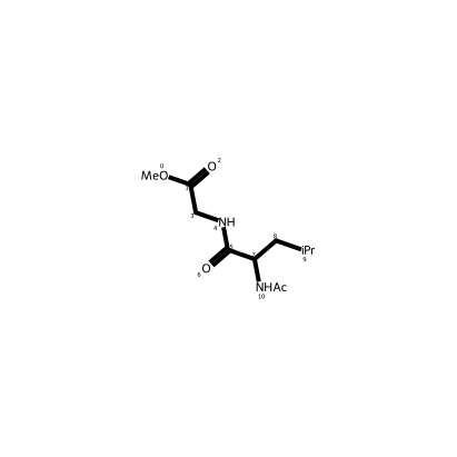 COC(=O)CNC(=O)C(CC(C)C)NC(C)=O